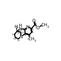 COC(=O)c1cc(C)c2c(n1)N[C@H]1CCCN2C1